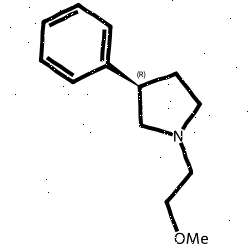 COCCN1CC[C@H](c2ccccc2)C1